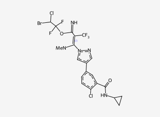 CN/C(=C(\C(=N)OC(F)(F)C(Cl)Br)C(F)(F)F)n1cc(-c2ccc(Cl)c(C(=O)NC3CC3)c2)cn1